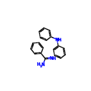 N=C(N)c1ccccc1.c1ccc(Nc2ccccc2)cc1